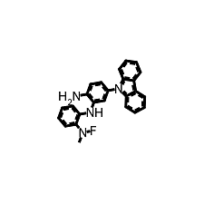 CN(F)c1ccccc1Nc1cc(-n2c3ccccc3c3ccccc32)ccc1N